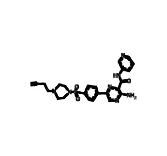 C#CCCN1CCN(S(=O)(=O)c2ccc(-c3cnc(N)c(C(=O)Nc4cccnc4)n3)cc2)CC1